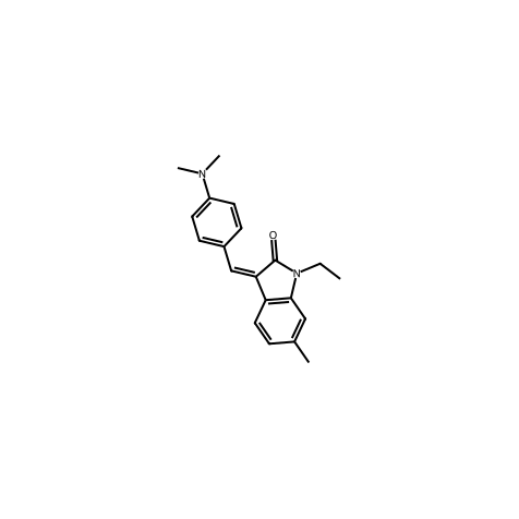 CCN1C(=O)/C(=C\c2ccc(N(C)C)cc2)c2ccc(C)cc21